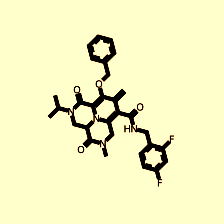 C=C1C(OCc2ccccc2)=C2C(=O)N(C(C)C)CC3C(=O)N(C)CC(=C1C(=O)NCc1ccc(F)cc1F)N23